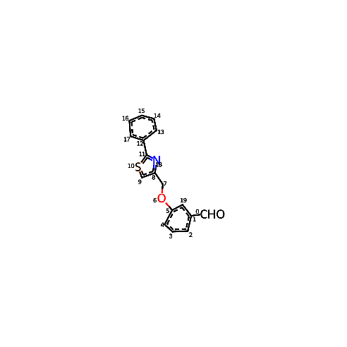 O=Cc1cccc(OCc2csc(-c3ccccc3)n2)c1